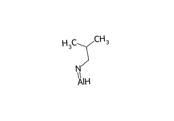 CC(C)C[N]=[AlH]